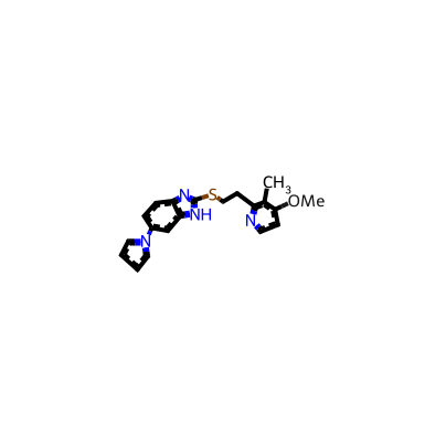 COc1ccnc(CCSc2nc3ccc(-n4cccc4)cc3[nH]2)c1C